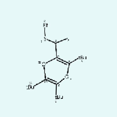 CCSC(C)C1=C(C(C)(C)C)OC(C(C)(C)C)=C(C(C)(C)C)O1